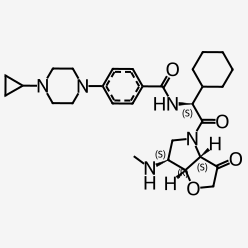 CN[C@H]1CN(C(=O)[C@@H](NC(=O)c2ccc(N3CCN(C4CC4)CC3)cc2)C2CCCCC2)[C@@H]2C(=O)CO[C@H]12